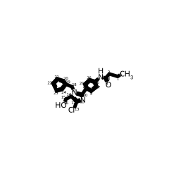 CCCC(=O)Nc1ccc(-c2nc(Cl)c(CO)n2Cc2ccccc2)cc1